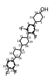 OC1CCC(c2cc(F)c(C3CCC(C4CCC(c5ccc(F)c(F)c5)CC4)CC3)c(F)c2)CC1